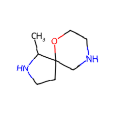 CC1NCCC12CNCCO2